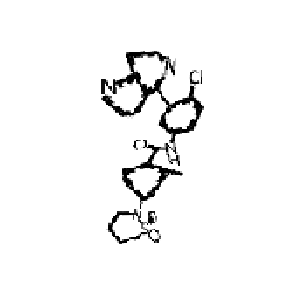 Cc1cc(N2CCCCS2(=O)=O)ccc1C(=O)Nc1ccc(Cl)c(-c2nccc3ncccc23)c1